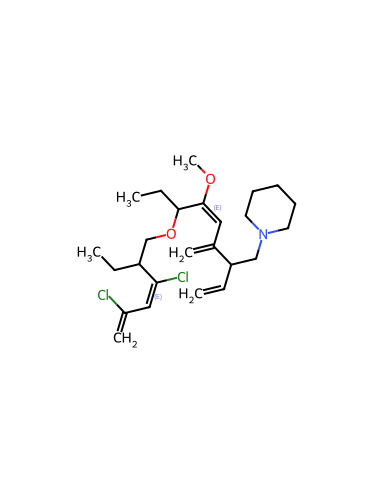 C=CC(CN1CCCCC1)C(=C)/C=C(/OC)C(CC)OCC(CC)/C(Cl)=C\C(=C)Cl